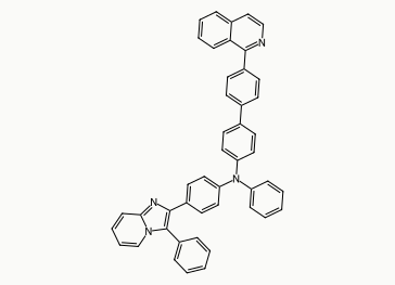 c1ccc(-c2c(-c3ccc(N(c4ccccc4)c4ccc(-c5ccc(-c6nccc7ccccc67)cc5)cc4)cc3)nc3ccccn23)cc1